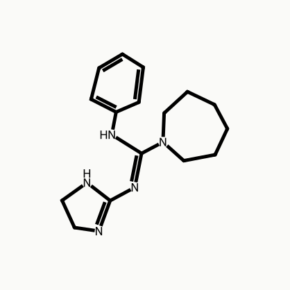 c1ccc(NC(=NC2=NCCN2)N2CCCCCC2)cc1